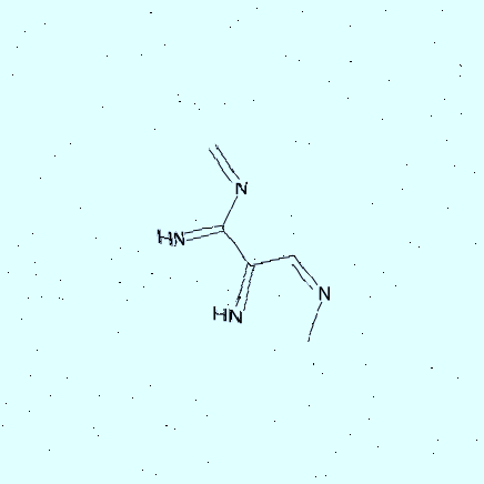 C=NC(=N)C(=N)/C=N\C